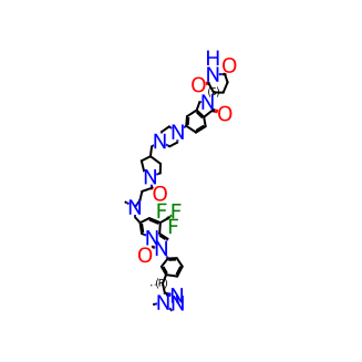 C[C@H](c1cccc(-n2cc3c(C(F)(F)F)cc(CN(C)CCC(=O)N4CCC(CN5CCN(c6ccc7c(c6)CN([C@H]6CCC(=O)NC6=O)C7=O)CC5)CC4)cn3c2=O)c1)c1nncn1C